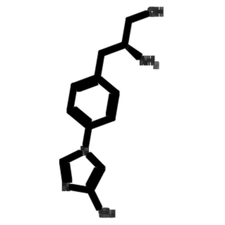 CC(C)(C)c1cn(-c2ccc(C[C@H](N)CO)cc2)cn1